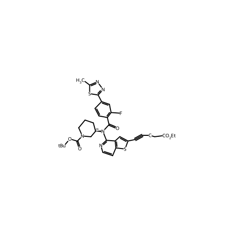 CCOC(=O)CCC#Cc1cc2c(N(C(=O)c3ccc(-c4nnc(C)s4)cc3F)[C@@H]3CCCN(C(=O)OC(C)(C)C)C3)nccc2s1